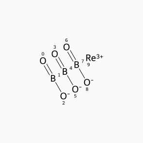 O=B[O-].O=B[O-].O=B[O-].[Re+3]